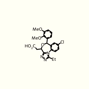 CCc1nnc2n1-c1ccc(Cl)cc1C(c1cccc(OC)c1OC)OC2CC(=O)O